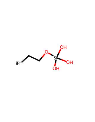 CC(C)CCO[Si](O)(O)O